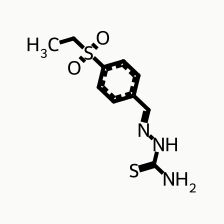 CCS(=O)(=O)c1ccc(C=NNC(N)=S)cc1